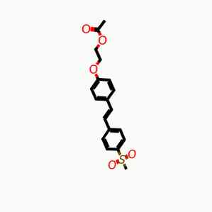 CC(=O)OCCOc1ccc(C=Cc2ccc(S(C)(=O)=O)cc2)cc1